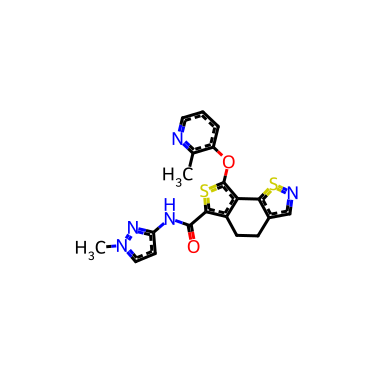 Cc1ncccc1Oc1sc(C(=O)Nc2ccn(C)n2)c2c1-c1sncc1CC2